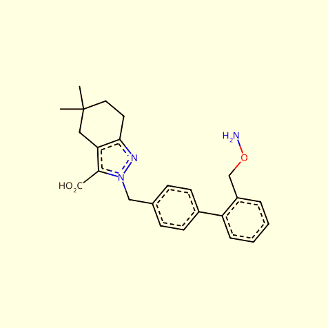 CC1(C)CCc2nn(Cc3ccc(-c4ccccc4CON)cc3)c(C(=O)O)c2C1